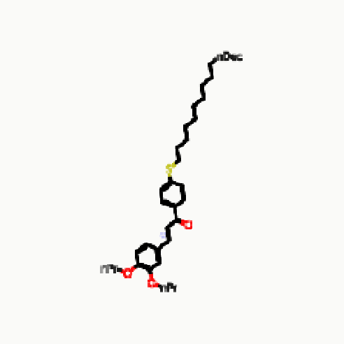 CCCCCCCCCCCCCCCCCCCCSc1ccc(C(=O)/C=C/c2ccc(OCCC)c(OCCC)c2)cc1